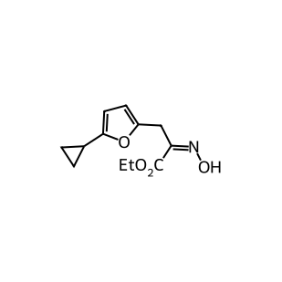 CCOC(=O)/C(Cc1ccc(C2CC2)o1)=N\O